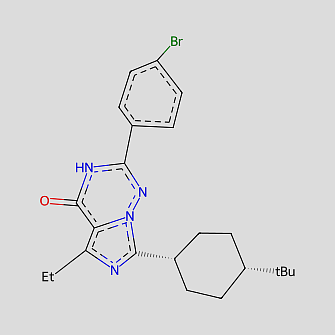 CCc1nc([C@H]2CC[C@@H](C(C)(C)C)CC2)n2nc(-c3ccc(Br)cc3)[nH]c(=O)c12